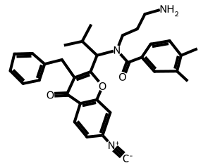 [C-]#[N+]c1ccc2c(=O)c(Cc3ccccc3)c(C(C(C)C)N(CCCN)C(=O)c3ccc(C)c(C)c3)oc2c1